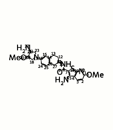 COc1ccc2c(N)c(C(=O)N[C@H]3CCc4cc(N5C[C@H](OC)[C@@H](N)C5)ccc4C3)sc2n1